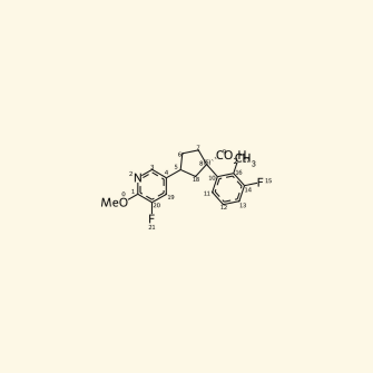 COc1ncc(C2CC[C@@](C(=O)O)(c3cccc(F)c3C)C2)cc1F